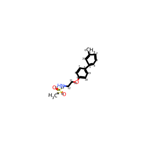 Cc1cccc(-c2ccc(OCCNS(C)(=O)=O)cc2)c1